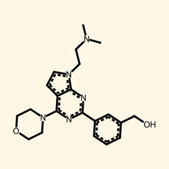 CN(C)CCn1ccc2c(N3CCOCC3)nc(-c3cccc(CO)c3)nc21